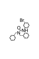 O=C(Nc1cccc(Br)c1)N(Cc1ccccc1)Cc1ccccc1